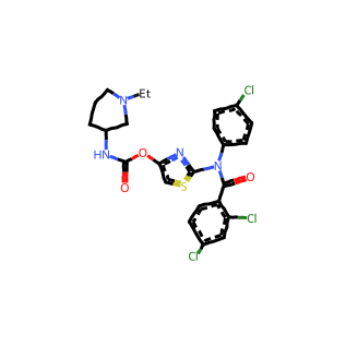 CCN1CCCC(NC(=O)Oc2csc(N(C(=O)c3ccc(Cl)cc3Cl)c3ccc(Cl)cc3)n2)C1